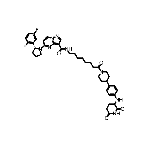 O=C1CCC(Nc2ccc(C3CCN(C(=O)CCCCCCCNC(=O)c4cnn5ccc(N6CCC[C@@H]6c6cc(F)ccc6F)nc45)CC3)cc2)C(=O)N1